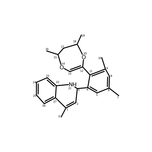 CC1=CC(c2cc(C)cc(C)c2C2=COC(C)CC(C)O2)Nc2ccccc21